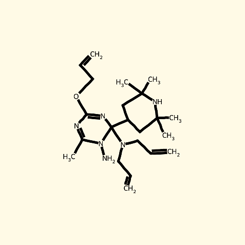 C=CCOC1=NC(C2CC(C)(C)NC(C)(C)C2)(N(CC=C)CC=C)N(N)C(C)=N1